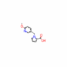 COc1ccc(Cn2cccc2C(=O)O)cn1